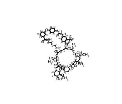 CO[C@H]1C[C@@H](C)[C@@]2(O)O[C@@H]1[C@@H](O)C[C@@H](C)C/C(C)=C/[C@@H](CCCSCCNC(=O)c1cc(Oc3ccc(NC(=O)Nc4ccc(Cl)c(C(F)(F)F)c4)cc3)ccn1)C(=O)C[C@H](O)[C@@H](C)[C@@H]1OC(=O)[C@@H]3C(CCCN3C(=O)C2=O)/C1=C\[C@@H]1CC[C@@H](O)[C@H](OC)C1